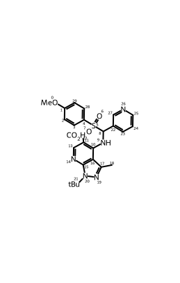 COc1ccc(S(=O)(=O)C(Nc2c(C(=O)O)cnc3c2c(C)nn3C(C)(C)C)c2cccnc2)cc1